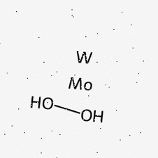 OO.[Mo].[W]